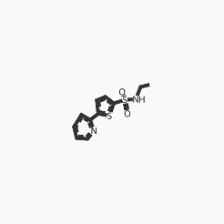 CCNS(=O)(=O)c1ccc(-c2ccccn2)s1